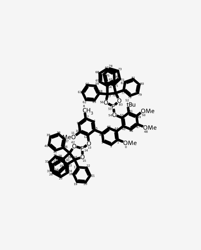 COc1ccc(-c2cc(C)cc(OC)c2OP2OC(c3ccccc3)(c3ccccc3)C(c3ccccc3)(c3ccccc3)O2)cc1-c1cc(OC)c(OC)c(C(C)(C)C)c1OP1OC(c2ccccc2)(c2ccccc2)C(c2ccccc2)(c2ccccc2)O1